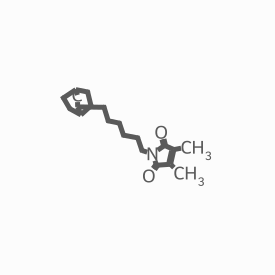 CC1=C(C)C(=O)N(CCCCCCC2CC3CCC2CC3)C1=O